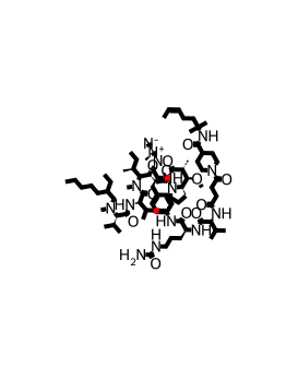 C/C=C\CCC(C)(C)NC(=O)C1CCN(C(=O)CCC(=O)N[C@H](C(=O)N[C@@H](CCCNC(N)=O)C(=O)Nc2ccc(C[C@@H](CN=[N+]=[N-])NC(=O)[C@H](C)[C@@H](OC)[C@@H]3CCCN3C(=O)C[C@@H](OC)C([C@@H](C)CC)N(C)C(=O)[C@@H](NC(=O)[C@H](C(C)C)N(C)CC(CC)CCCCC)C(C)C)cc2)C(C)C)CC1